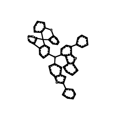 c1ccc(-c2cc3cc(N(c4ccc5c(c4)C4(c6ccccc6Oc6ccccc64)c4ccccc4-5)c4ccc(-c5ccccc5)c5oc6ccccc6c45)ccc3o2)cc1